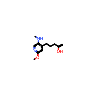 C=C(O)CCCc1cc(OC)ncc1NC